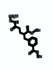 CCOC(=O)ONC(=O)CCC(Cc1cccc(C(=O)OC(C)(C)C)c1)C(=O)OC(C)(C)C